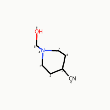 N#CC1CCN(CO)CC1